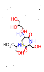 NC(CO)C(=O)O.NC1CSC(=O)C(CO)NC1=O.OCC(O)CO